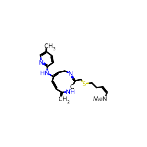 C=C1/C=C\C(Nc2ccc(C)cn2)=C/C/N=C(/CSCC/C=C\NC)CN1